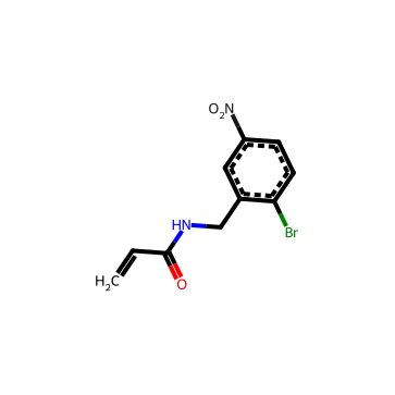 C=CC(=O)NCc1cc([N+](=O)[O-])ccc1Br